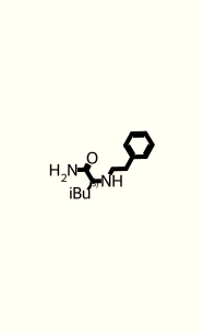 CCC(C)[C@H](NCCc1ccccc1)C(N)=O